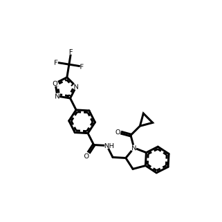 O=C(NCC1Cc2ccccc2N1C(=O)C1CC1)c1ccc(-c2noc(C(F)(F)F)n2)cc1